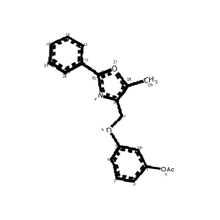 CC(=O)Oc1cccc(OCc2nc(-c3ccccc3)oc2C)c1